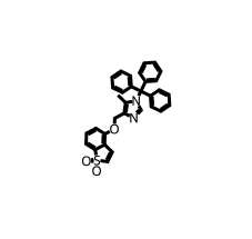 Cc1c(COc2cccc3c2C=CS3(=O)=O)ncn1C(c1ccccc1)(c1ccccc1)c1ccccc1